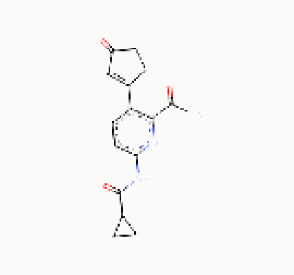 COC(=O)c1nc(NC(=O)C2CC2)ccc1C1=CC(=O)CC1